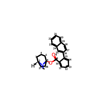 CN1[C@H]2CCC[C@]1(OC(=O)c1ccccc1-c1ccc3ccccc3c1)CC2